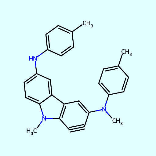 Cc1ccc(Nc2ccc3c(c2)c2cc(N(C)c4ccc(C)cc4)c#cc2n3C)cc1